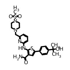 CC(C)(O)c1ccc(-c2cc(C(N)=O)c(Nc3cccc(CN4CCN(S(C)(=O)=O)CC4)n3)s2)cc1